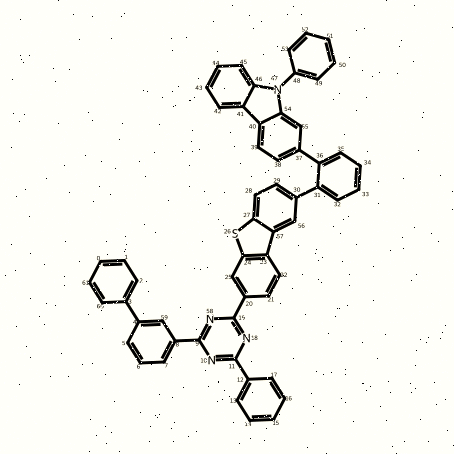 c1ccc(-c2cccc(-c3nc(-c4ccccc4)nc(-c4ccc5c(c4)sc4ccc(-c6ccccc6-c6ccc7c8ccccc8n(-c8ccccc8)c7c6)cc45)n3)c2)cc1